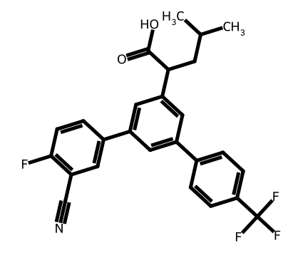 CC(C)CC(C(=O)O)c1cc(-c2ccc(C(F)(F)F)cc2)cc(-c2ccc(F)c(C#N)c2)c1